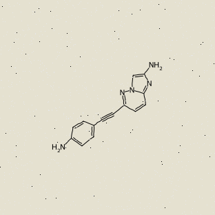 Nc1ccc(C#Cc2ccc3nc(N)cn3n2)cc1